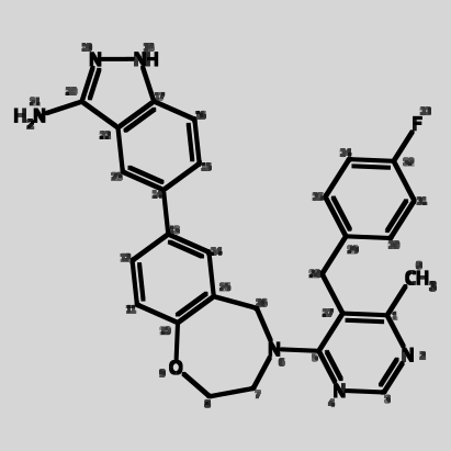 Cc1ncnc(N2CCOc3ccc(-c4ccc5[nH]nc(N)c5c4)cc3C2)c1Cc1ccc(F)cc1